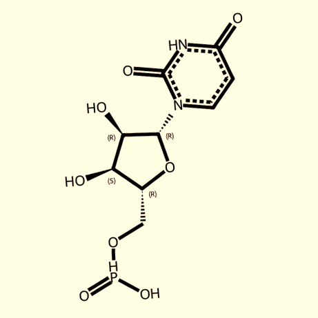 O=c1ccn([C@@H]2O[C@H](CO[PH](=O)O)[C@@H](O)[C@H]2O)c(=O)[nH]1